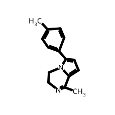 CC1=NCCn2c1ccc2-c1ccc(C)cc1